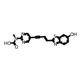 CN(C(=O)O)c1ncc(C#CC=Cc2nc3ccc(O)cc3s2)cn1